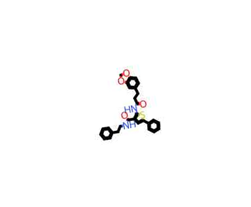 O=C(CCc1ccc2c(c1)OCO2)Nc1sc(-c2ccccc2)cc1C(=O)NCCc1ccccc1